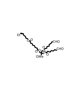 CC/C=C\CCCCOC(=O)CCCCCCC(=O)OCC(COC)(COC(=O)CCCCCCC=O)COC(=O)CCCCCCC=O